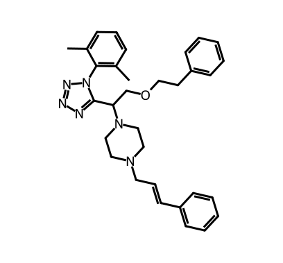 Cc1cccc(C)c1-n1nnnc1C(COCCc1ccccc1)N1CCN(CC=Cc2ccccc2)CC1